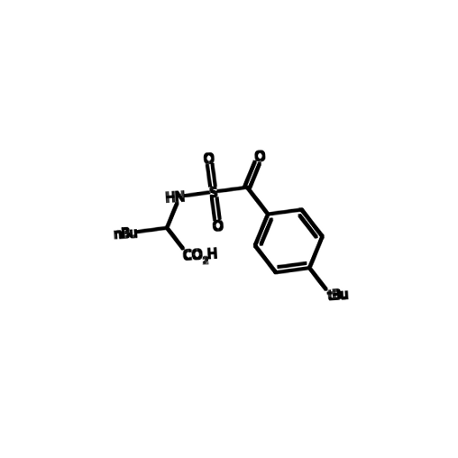 [CH2]CCCC(NS(=O)(=O)C(=O)c1ccc(C(C)(C)C)cc1)C(=O)O